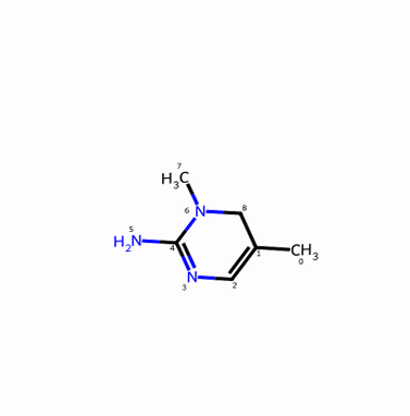 CC1=CN=C(N)N(C)C1